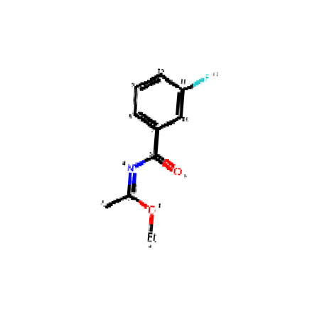 CCOC(C)=NC(=O)c1cccc(F)c1